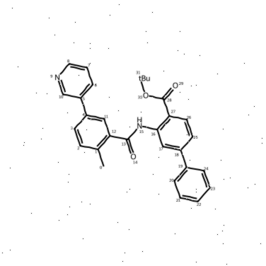 Cc1ccc(-c2cccnc2)cc1C(=O)Nc1cc(-c2ccccc2)ccc1C(=O)OC(C)(C)C